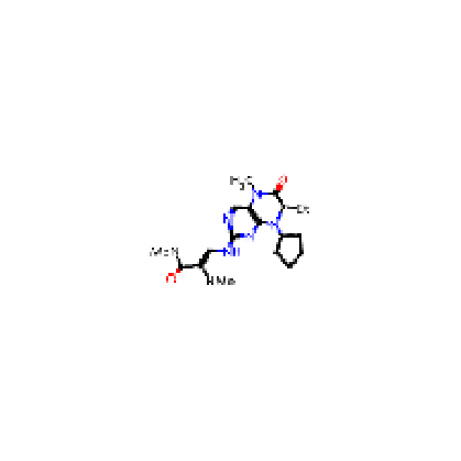 CC[C@@H]1C(=O)N(C)c2cnc(N/C=C(\NC)C(=O)NC)nc2N1C1CCCC1